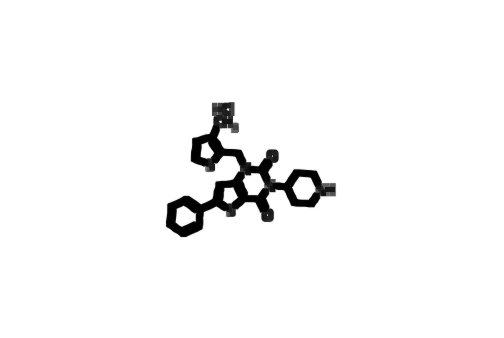 Cc1ccsc1Cn1c(=O)n(C2CCNCC2)c(=O)c2sc(-c3ccccc3)cc21.Cl